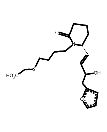 O=C(O)CSCCCCN1C(=O)CCC[C@@H]1/C=C/C(O)Cc1ccco1